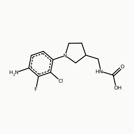 Nc1ccc(N2CCC(CNC(=O)O)C2)c(Cl)c1F